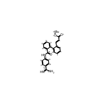 CC(C)(C)OC(=O)C=Cc1ccccc1-c1ccccc1C(=O)Nc1ccc(C(=N)N)cc1